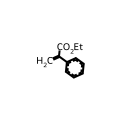 C=C(C(=O)OCC)c1ccccc1